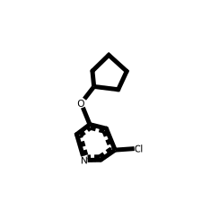 Clc1cncc(OC2CCCC2)c1